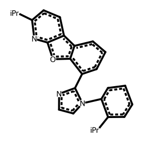 CC(C)c1ccc2c(n1)oc1c(-c3nccn3-c3ccccc3C(C)C)cccc12